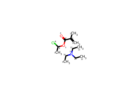 C=C(C)C(=O)OC(C)Cl.CCN(CC)CC